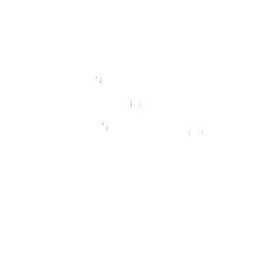 CCCCC(C(=O)O)c1ccccc1-n1ccnc1